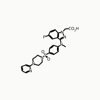 CN(c1ccc(S(=O)(=O)N2CCN(c3ccccn3)CC2)cc1)c1nn(CC(=O)O)c2ccc(F)cc12